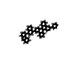 c1ccc(-c2ccc3c(c2)c2ccccc2c2c4ccc(-c5ccc(-c6cccc7sc8ccccc8c67)c6ccccc56)cc4c4ccccc4c32)cc1